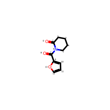 O=C1CCCCN1C(=O)c1ccco1